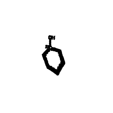 O[13c]1ccccc1